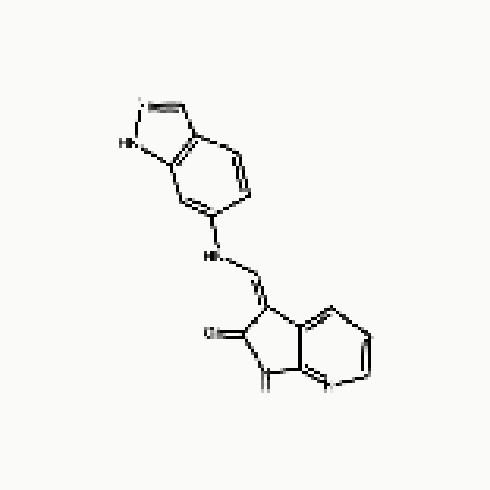 O=C1Nc2ncccc2C1=CNc1ccc2cn[nH]c2c1